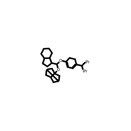 CC(C)C(C1=CC=C(OC(OC23CC4CC2CC4C3)C2CCC3CCCCC32)CC1)C(C)C